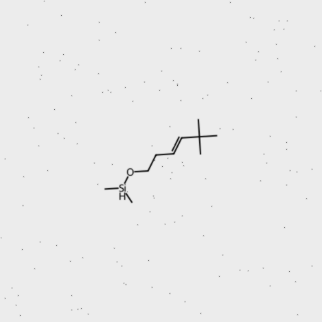 C[SiH](C)OCCC=CC(C)(C)C